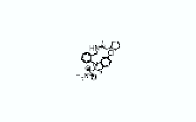 C[C@@H](CC1CCCC1)NCc1ccccc1N1c2cc(Cl)ccc2SC1S(N)(=O)=O